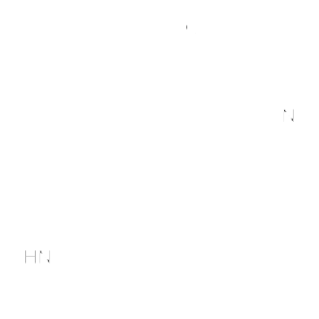 Clc1cncc(C2=CC3CNCCC3CC2)c1